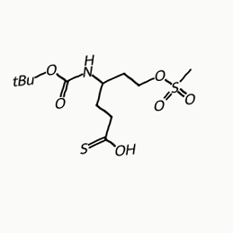 CC(C)(C)OC(=O)NC(CCOS(C)(=O)=O)CCC(O)=S